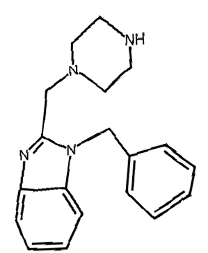 c1ccc(Cn2c(CN3CCNCC3)nc3ccccc32)cc1